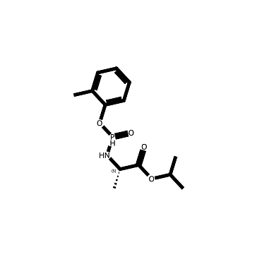 Cc1ccccc1O[PH](=O)N[C@@H](C)C(=O)OC(C)C